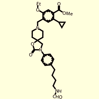 CCOc1cc(C(=O)OC)c(C2CC2)cc1CN1CCC2(CC1)CN(c1ccc(CCCCNC=O)cc1)C(=O)O2